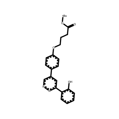 CC(C)(C)OC(=O)CCCOc1ccc(-c2cnnc(-c3ccccc3O)c2)cc1